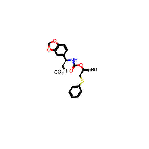 CCCCC(CSc1ccccc1)OC(=O)N[C@@H](CC(=O)O)c1ccc2c(c1)OCO2